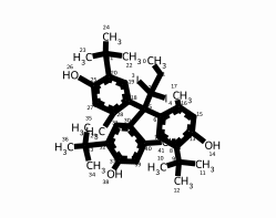 CCC(I)(I)C(c1cc(C(C)(C)C)c(O)cc1C)(c1cc(C(C)(C)C)c(O)cc1C)c1cc(C(C)(C)C)c(O)cc1C